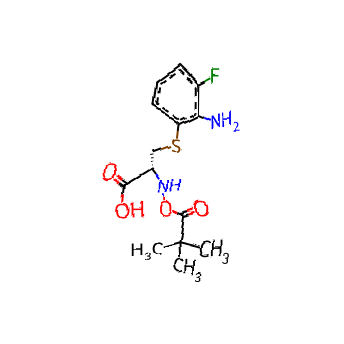 CC(C)(C)C(=O)ON[C@@H](CSc1cccc(F)c1N)C(=O)O